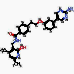 Cc1cc(C)c(CNC(=O)c2ccc(CCOc3cccc(-c4cnc(N)nc4)c3)cc2)c(O)n1